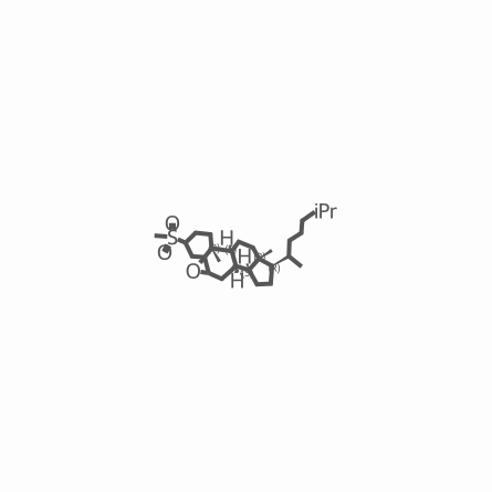 CC(C)CCCC(C)[C@H]1CC[C@H]2[C@@H]3CC4OC45CC(S(C)(=O)=O)CC[C@]5(C)[C@H]3CC[C@]12C